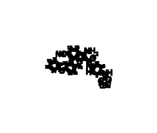 CC(C)(C)OC(=O)NC1CCC(NC(=O)c2c(N)c3ccc(C#N)cc3n2Cc2ccc(Oc3ccccc3)cc2)CC1